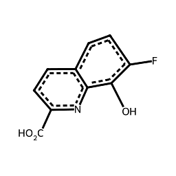 O=C(O)c1ccc2ccc(F)c(O)c2n1